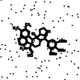 CCC1(C2CCNC2)C(c2ccc(C)c(C)c2)C(C(N)=O)(c2ccccc2)CCN1C(=O)c1cc(OC)c(OC)c(OC)c1.Cl